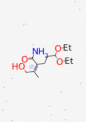 CCOC(CC/C(C(N)=O)=C(\C)CO)OCC